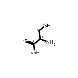 NC(CS)C(=S)S